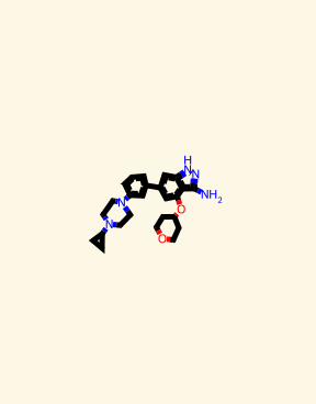 Nc1n[nH]c2cc(-c3cc[c]c(N4CCN(C5CC5)CC4)c3)cc(OC3CCOCC3)c12